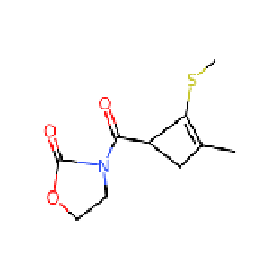 CSC1=C(C)CC1C(=O)N1CCOC1=O